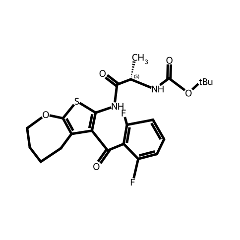 C[C@H](NC(=O)OC(C)(C)C)C(=O)Nc1sc2c(c1C(=O)c1c(F)cccc1F)CCCCO2